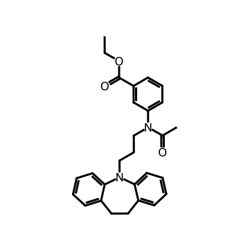 CCOC(=O)c1cccc(N(CCCN2c3ccccc3CCc3ccccc32)C(C)=O)c1